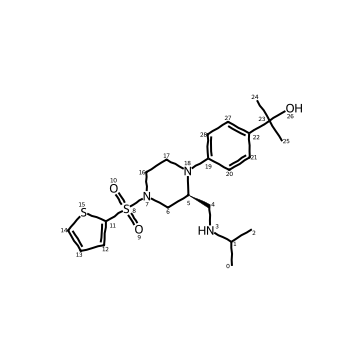 CC(C)NC[C@H]1CN(S(=O)(=O)c2cccs2)CCN1c1ccc(C(C)(C)O)cc1